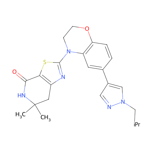 CC(C)Cn1cc(-c2ccc3c(c2)N(c2nc4c(s2)C(=O)NC(C)(C)C4)CCO3)cn1